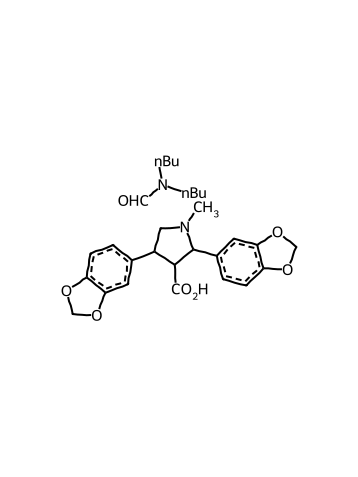 CCCCN(C=O)CCCC.CN1CC(c2ccc3c(c2)OCO3)C(C(=O)O)C1c1ccc2c(c1)OCO2